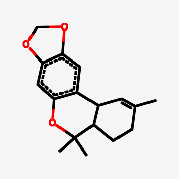 CC1=CC2c3cc4c(cc3OC(C)(C)C2CC1)OCO4